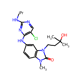 CC(C)Nc1ncc(Cl)c(Nc2ccc3c(c2)n(CCC(C)(C)O)c(=O)n3C)n1